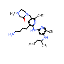 CSCC(C)Nc1cc(Nc2nc(C=O)c(CN3CCN(C)CC3=O)cc2CCCCN)ncc1C#N